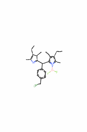 CCC1=C(C)N=C(C(c2ccc(CCl)cc2)c2c(C)c(CC)c(C)n2B(F)F)C1C